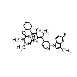 CC[C@H](C(=N)C(=O)[C@@H](NC(=O)[C@H](C)NC)C1CCCCC1)c1ccnc(-n2cc(C)c3cc(F)ccc32)c1